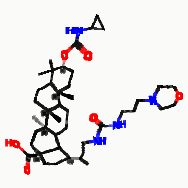 CC(CNC(=O)NCCCN1CCOCC1)[C@@H]1CC[C@]2(C(=O)O)CC[C@]3(C)C(CCC4[C@@]5(C)CC[C@@H](OC(=O)NC6CC6)C(C)(C)C5CC[C@]43C)C12